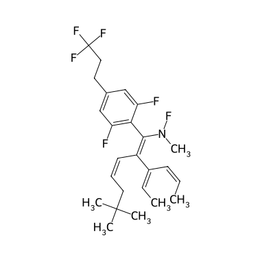 C\C=C/C(=C\C)C(/C=C\CC(C)(C)C)=C(/c1c(F)cc(CCC(F)(F)F)cc1F)N(C)F